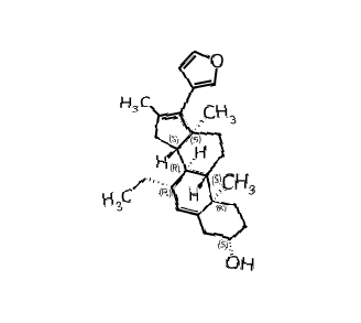 CC[C@H]1C=C2C[C@@H](O)CC[C@]2(C)[C@H]2CC[C@]3(C)C(c4ccoc4)=C(C)C[C@H]3[C@H]12